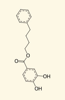 O=C(OCCCCc1ccccc1)c1ccc(O)c(O)c1